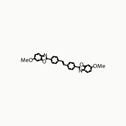 COc1ccc2nc(-c3ccc(C=Cc4ccc(-c5nc6ccc(OC)cc6o5)cc4)cc3)oc2c1